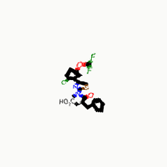 CN(C(=O)[C@@H](CC(=O)O)Cc1ccccc1)c1nc(-c2cc(OC(F)F)ccc2Cl)cs1